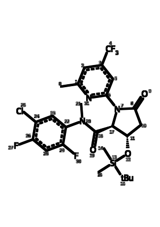 Cc1cc(C(F)(F)F)cc(N2C(=O)C[C@H](O[Si](C)(C)C(C)(C)C)[C@H]2C(=O)N(C)c2cc(Cl)c(F)cc2F)n1